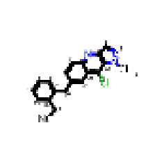 Cn1ncc2nc3ccc(Cc4ccccc4CC#N)cc3c(Cl)c21